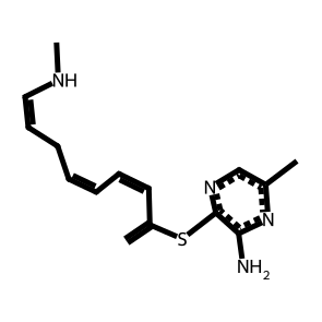 C=C(/C=C\C=C/C/C=C\NC)Sc1ncc(C)nc1N